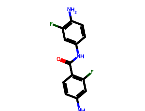 Nc1ccc(C(=O)Nc2ccc(N)c(F)c2)c(F)c1